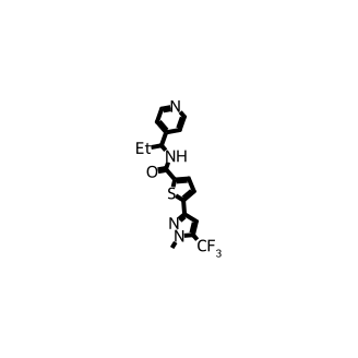 CCC(NC(=O)c1ccc(-c2cc(C(F)(F)F)n(C)n2)s1)c1ccncc1